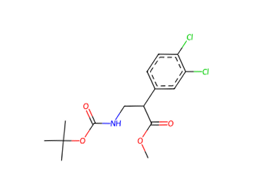 COC(=O)C(CNC(=O)OC(C)(C)C)c1ccc(Cl)c(Cl)c1